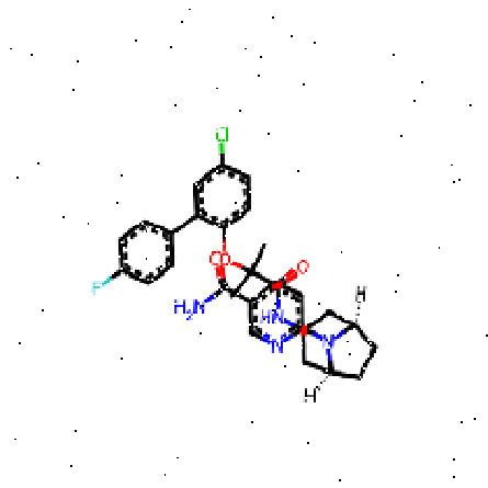 CC(C)(Oc1ccc(Cl)cc1-c1ccc(F)cc1)C(=O)N[C@H]1C[C@H]2CC[C@@H](C1)N2c1ccc(C(N)=O)cn1